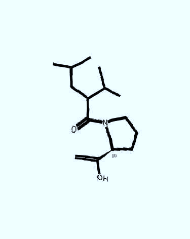 C=C(O)[C@@H]1CCCN1C(=O)C(CC(C)C)C(C)C